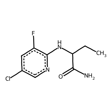 CCC(Nc1ncc(Cl)cc1F)C(N)=O